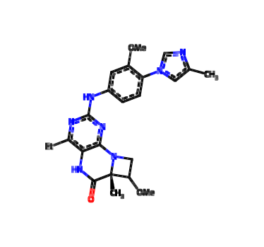 CCc1nc(Nc2ccc(-n3cnc(C)c3)c(OC)c2)nc2c1NC(=O)[C@@]1(C)C(OC)CN21